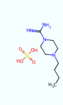 CCCCN1CCN(C(=N)N)CC1.O=S(=O)(O)O